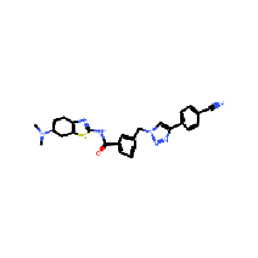 CN(C)[C@H]1CCc2nc(NC(=O)c3cccc(Cn4cc(-c5ccc(C#N)cc5)nn4)c3)sc2C1